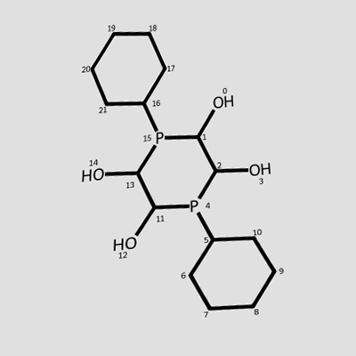 OC1C(O)P(C2CCCCC2)C(O)C(O)P1C1CCCCC1